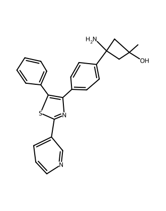 CC1(O)CC(N)(c2ccc(-c3nc(-c4cccnc4)sc3-c3ccccc3)cc2)C1